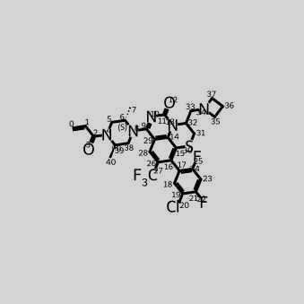 C=CC(=O)N1C[C@H](C)N(c2nc(=O)n3c4c(c(-c5cc(Cl)c(F)cc5F)c(C(F)(F)F)cc24)SCC3CN2CCC2)C[C@H]1C